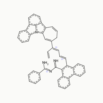 C=C/C(=C\C=C\c1c(C(=N)/N=C(\N)c2ccccc2)c2ccccc2c2ccccc12)C1=Cc2c(c3cccc4c5ccccc5n2c34)C=CC1